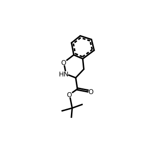 CC(C)(C)OC(=O)C1Cc2ccccc2ON1